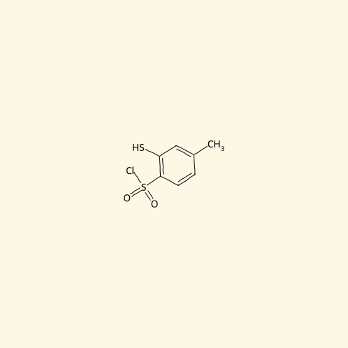 Cc1ccc(S(=O)(=O)Cl)c(S)c1